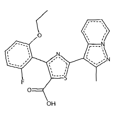 CCOc1cccc(F)c1-c1nc(-c2c(C)nn3ccccc23)sc1C(=O)O